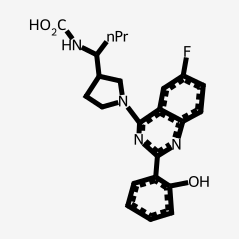 CCCC(NC(=O)O)C1CCN(c2nc(-c3ccccc3O)nc3ccc(F)cc23)C1